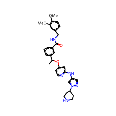 COc1ccc(CNC(=O)c2cccc(C(C)Oc3ccnc(Nc4cnn(C5CCNCC5)c4)c3)c2)cc1OC